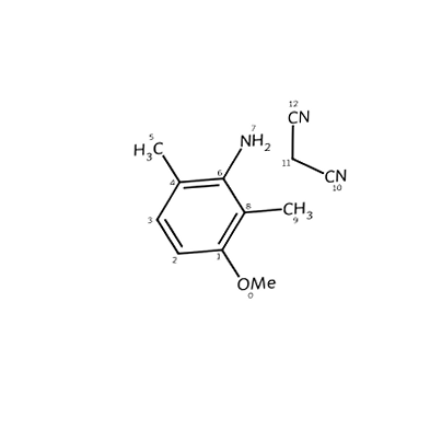 COc1ccc(C)c(N)c1C.N#CCC#N